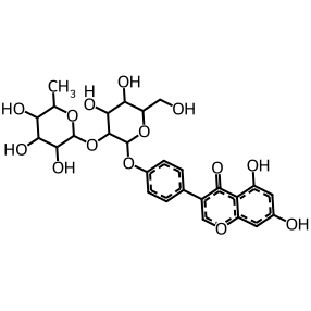 CC1OC(OC2C(Oc3ccc(-c4coc5cc(O)cc(O)c5c4=O)cc3)OC(CO)C(O)C2O)C(O)C(O)C1O